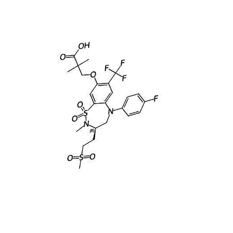 CN1[C@H](CCS(C)(=O)=O)CN(c2ccc(F)cc2)c2cc(C(F)(F)F)c(OCC(C)(C)C(=O)O)cc2S1(=O)=O